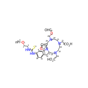 CCCOCCNC(=S)Nc1ccc(CC2CN(CC(=O)O)CCN(CC(=O)O)CCN(COC=O)CCN2COC=O)cc1